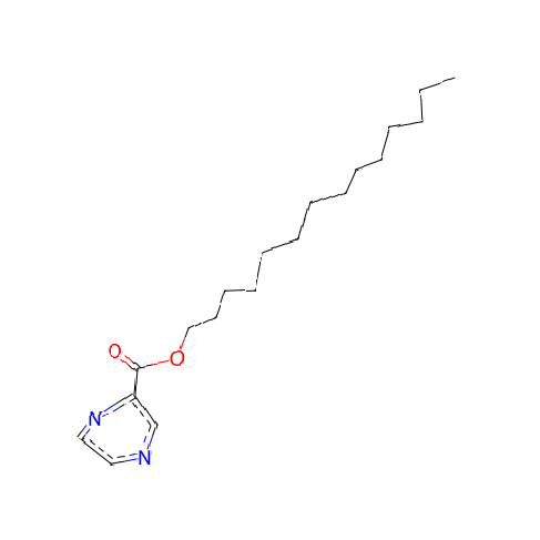 CCCCCCCCCCCCCCOC(=O)c1cnccn1